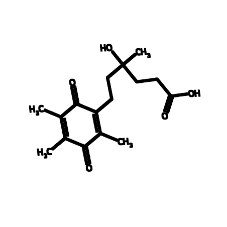 CC1=C(C)C(=O)C(CCC(C)(O)CCC(=O)O)=C(C)C1=O